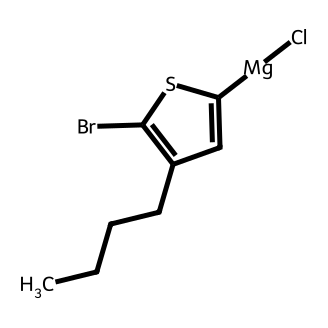 CCCCc1c[c]([Mg][Cl])sc1Br